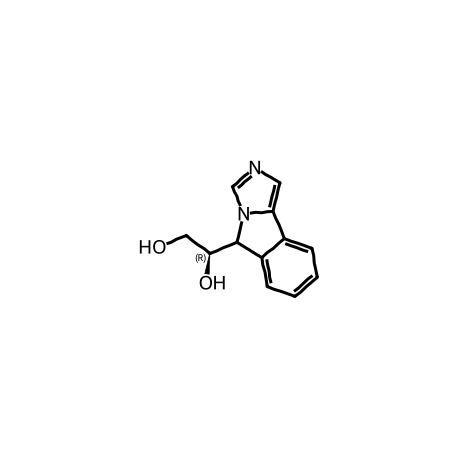 OC[C@H](O)C1c2ccccc2-c2cncn21